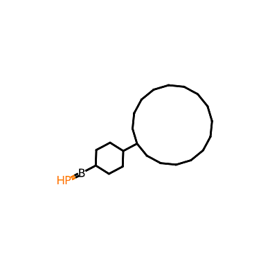 P=BC1CCC(C2CCCCCCCCCCCCCCC2)CC1